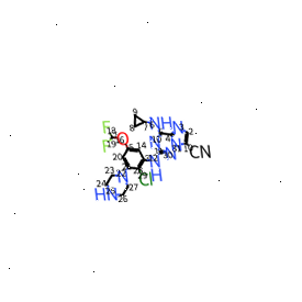 N#Cc1cnc2c(NC3CC3)nc(Nc3cc(OC(F)F)cc(N4CCNCC4)c3Cl)nn12